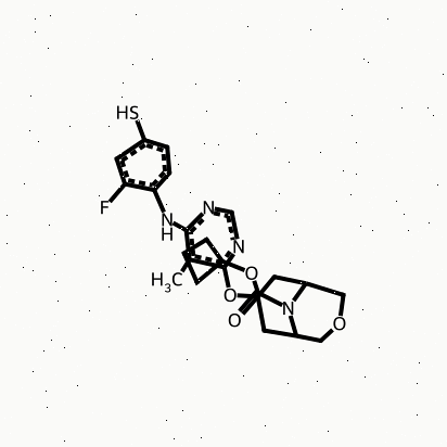 Cc1c(Nc2ccc(S)cc2F)ncnc1OC1CC2COCC(C1)N2C(=O)OC1CCC1